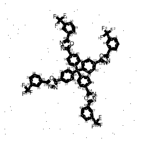 FC(F)(F)c1cccc(-c2nnc(-c3ccc(C(c4ccc(-c5nnc(-c6cccc(C(F)(F)F)c6)o5)cc4)(c4ccc(-c5nnc(-c6cccc(C(F)(F)F)c6)o5)cc4)c4ccc(-c5nnc(-c6cccc(C(F)(F)F)c6)o5)cc4)cc3)o2)c1